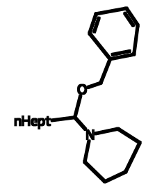 CCCCCCCC(OCc1ccccc1)N1CCCCC1